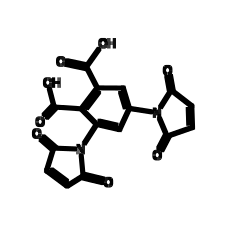 O=C(O)c1cc(N2C(=O)C=CC2=O)cc(N2C(=O)C=CC2=O)c1C(=O)O